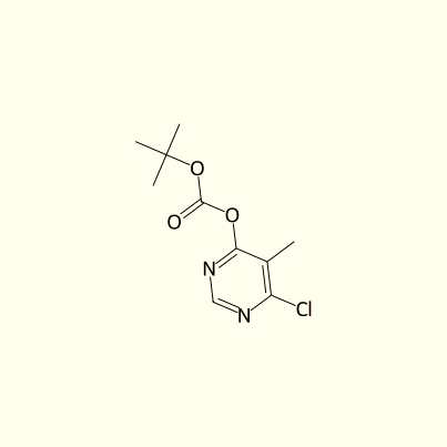 Cc1c(Cl)ncnc1OC(=O)OC(C)(C)C